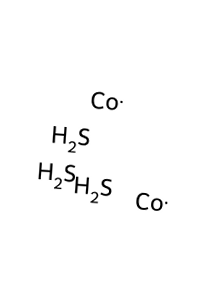 S.S.S.[Co].[Co]